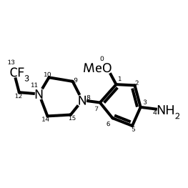 COc1cc(N)ccc1N1CCN(CC(F)(F)F)CC1